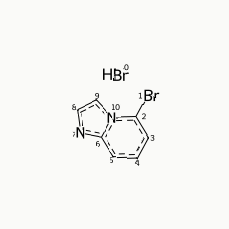 Br.Brc1cccc2nccn12